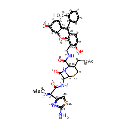 CO/N=C(\C(=O)NC1C(=O)N2C(C(=O)NCc3c(O)ccc4c(-c5ccccc5C(=O)O)c5ccc(=O)cc-5oc34)=C(COC(C)=O)CSC12)c1csc(N)n1